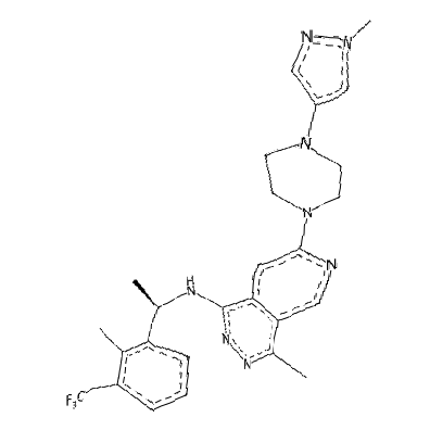 Cc1c([C@@H](C)Nc2nnc(C)c3cnc(N4CCN(c5cnn(C)c5)CC4)cc23)cccc1C(F)(F)F